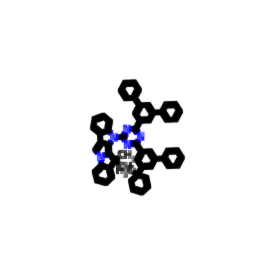 CC1(c2cc(-c3ccccc3)cc(-c3nc(-c4cc(-c5ccccc5)cc(-c5ccccc5)c4)nc(-n4c5ccccc5c5cn6c(c54)C(C)(C)c4ccccc4-6)n3)c2)C=CC=CC1